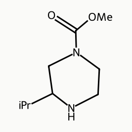 COC(=O)N1CCNC(C(C)C)C1